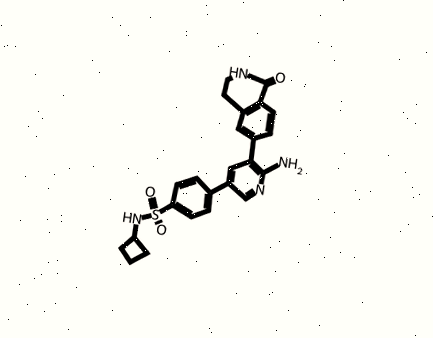 Nc1ncc(-c2ccc(S(=O)(=O)NC3CCC3)cc2)cc1-c1ccc2c(c1)CCNC2=O